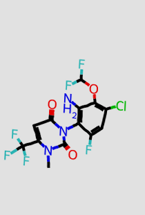 Cn1c(C(F)(F)F)cc(=O)n(-c2c(F)cc(Cl)c(OC(F)F)c2N)c1=O